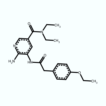 CCOc1ccc(CC(=O)Nc2cc(C(=O)N(CC)CC)cnc2N)cc1